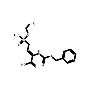 CCOP(C)(=O)C/C=C(\NC(=O)OCc1ccccc1)C(=O)O